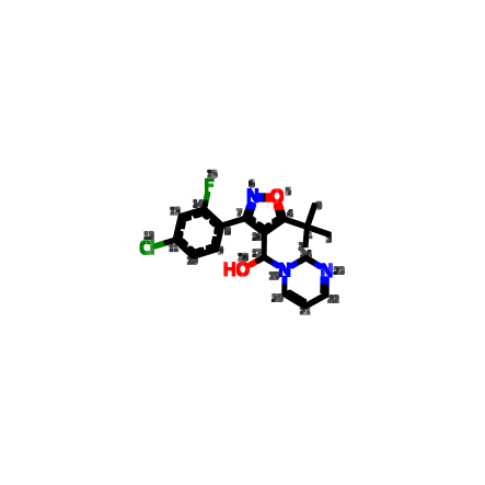 CC(C)(C)c1onc(-c2ccc(Cl)cc2F)c1C(O)N1C=CC=NC1